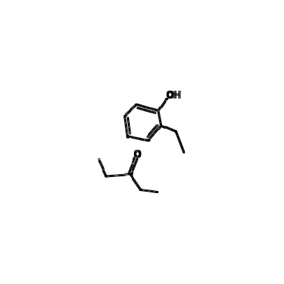 CCC(=O)CC.CCc1ccccc1O